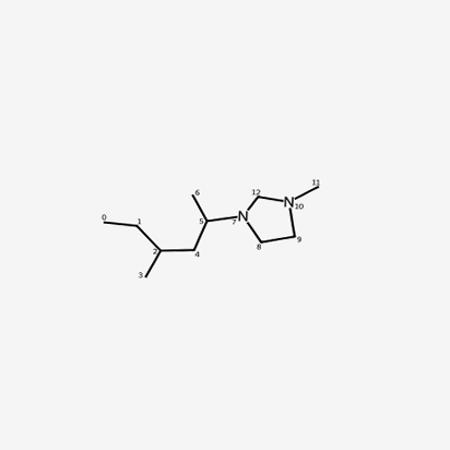 CCC(C)CC(C)N1CCN(C)C1